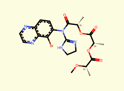 CO[C@@H](C)C(=O)O[C@@H](C)C(=O)O[C@@H](C)C(=O)N(C1=NCCN1)c1ccc2nccnc2c1Br